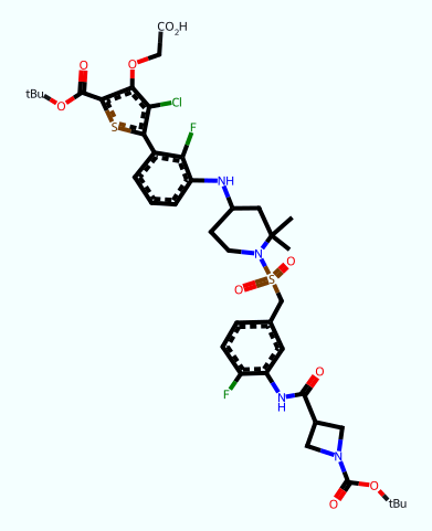 CC(C)(C)OC(=O)c1sc(-c2cccc(NC3CCN(S(=O)(=O)Cc4ccc(F)c(NC(=O)C5CN(C(=O)OC(C)(C)C)C5)c4)C(C)(C)C3)c2F)c(Cl)c1OCC(=O)O